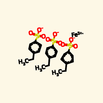 CCc1ccc(S(=O)(=O)[O-])cc1.CCc1ccc(S(=O)(=O)[O-])cc1.CCc1ccc(S(=O)(=O)[O-])cc1.[Fe+3]